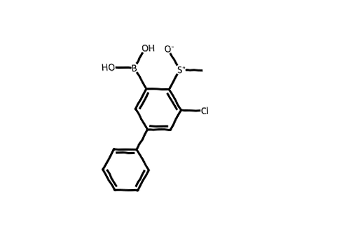 C[S+]([O-])c1c(Cl)cc(-c2ccccc2)cc1B(O)O